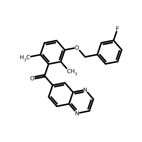 Cc1ccc(OCc2cccc(F)c2)c(C)c1C(=O)c1ccc2nccnc2c1